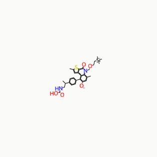 COc1cc(C)c2c(c1-c1ccc(C(C)CNC(=O)O)cc1)c1cc(C)sc1c(=O)n2COCC[Si](C)(C)C